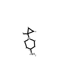 CC1(N2CCC(N)CC2)CC1